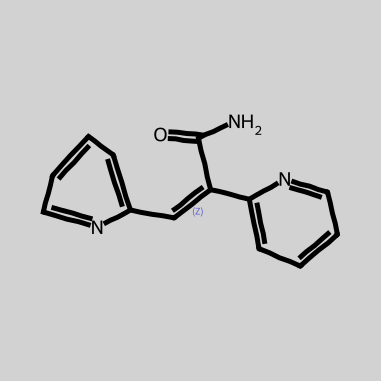 NC(=O)/C(=C\c1ccccn1)c1ccccn1